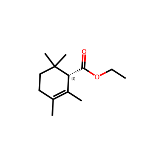 CCOC(=O)[C@@H]1C(C)=C(C)CCC1(C)C